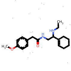 CCNC(CNC(=O)Cc1ccc(OC)cc1)C1=CCCCC1